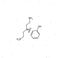 C=O.NCCNCCN.Oc1ccccc1